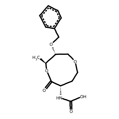 C[C@@H]1OC(=O)[C@@H](NC(=O)O)CCOC[C@H]1OCc1ccccc1